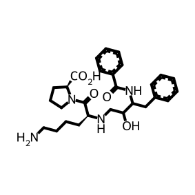 NCCCC[C@H](NCC(O)C(Cc1ccccc1)NC(=O)c1ccccc1)C(=O)N1CCC[C@H]1C(=O)O